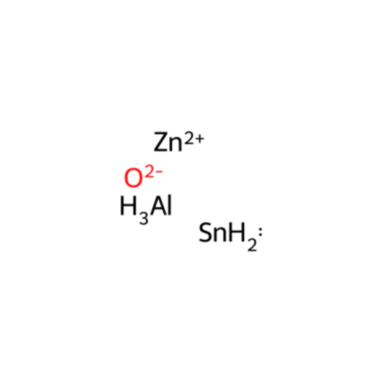 [AlH3].[O-2].[SnH2].[Zn+2]